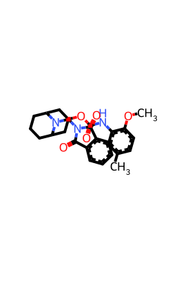 COc1ccc(C)cc1NC(=O)OC1CC2CCCC(C1)N2CN1C(=O)c2ccccc2C1=O